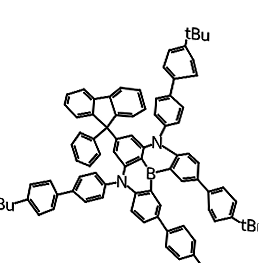 CC(C)(C)c1ccc(-c2ccc(N3c4ccc(-c5ccc(C(C)(C)C)cc5)cc4B4c5cc(-c6ccc(C(C)(C)C)cc6)ccc5N(c5ccc(-c6ccc(C(C)(C)C)cc6)cc5)c5cc(C6(c7ccccc7)c7ccccc7-c7ccccc76)cc3c54)cc2)cc1